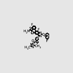 Cc1nc(C)n(C(=O)N2CC[C@@]23CCN(c2nc(OC[C@@]45CCCN4C[C@H](F)C5)nc4c(F)c(-c5ccc(F)c6sc(N)c(C#N)c56)c(Cl)cc24)C3)n1